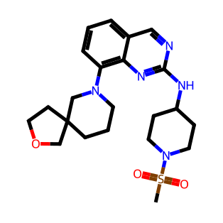 CS(=O)(=O)N1CCC(Nc2ncc3cccc(N4CCCC5(CCOC5)C4)c3n2)CC1